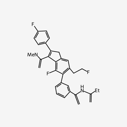 C=C(CC)NC(=C)c1cccc(-c2c(CCF)cc3c(c2F)C(C(=C)NC)=C(c2ccc(F)cc2)C3)c1